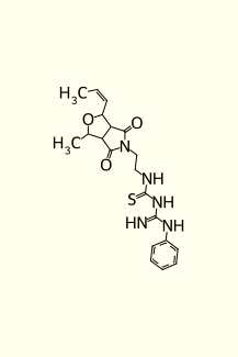 C/C=C\C1OC(C)C2C(=O)N(CCNC(=S)NC(=N)Nc3ccccc3)C(=O)C12